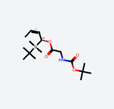 C/C=C\[C@@H](OC(=O)CNC(=O)OC(C)(C)C)[Si](C)(C)C(C)(C)C